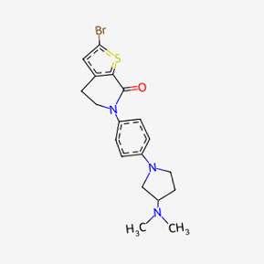 CN(C)C1CCN(c2ccc(N3CCc4cc(Br)sc4C3=O)cc2)C1